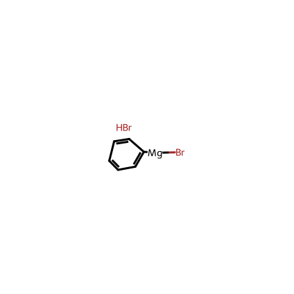 Br.[Br][Mg][c]1ccccc1